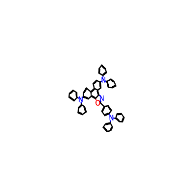 c1ccc(N(c2ccccc2)c2ccc(-c3nc4c5cc(N(c6ccccc6)c6ccccc6)ccc5c5ccc(N(c6ccccc6)c6ccccc6)cc5c4o3)cc2)cc1